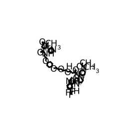 CC(C)N(C)[C@@H]1CC[C@H](N2CC[C@H](Nc3ncnc4ccc(C(F)(F)F)cc34)C2=O)[C@H](NC(=O)CCOCCOCCO[C@H]2CC[C@H](OCCNC(=O)[C@H]3CC(=O)N(C)[C@@H]3c3cccnc3)CC2)C1